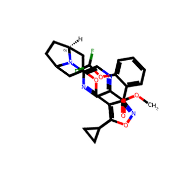 COC(=O)c1cnc(N2C3CC[C@H]2CC(OCc2c(-c4ccccc4OC(F)F)noc2C2CC2)C3)cn1